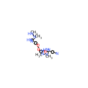 CNCCN(C)Cc1c[nH]nc1-c1ccc(OCCOc2cccc(COc3[nH]nc(-c4ccc(C#N)cc4)c3CN(C)CCNC)c2)cc1